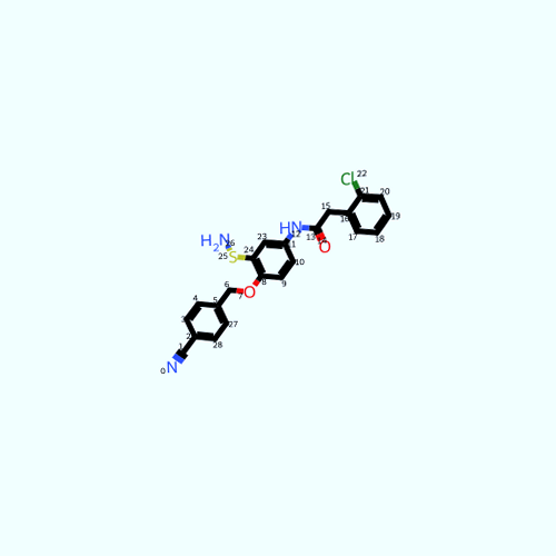 N#Cc1ccc(COc2ccc(NC(=O)Cc3ccccc3Cl)cc2SN)cc1